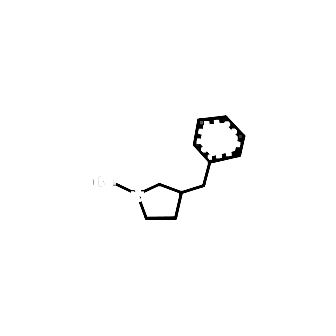 CC(C)(C)N1CCC(Cc2ccccc2)C1